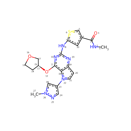 CNC(=O)c1csc(Nc2nc(O[C@H]3CCOC3)c3c(ccn3-c3cnn(C)c3)n2)c1